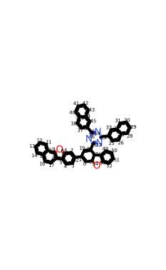 C1=C(c2ccc3c(c2)oc2c4ccccc4ccc32)C=C(c2nc(-c3ccc4ccccc4c3)nc(-c3ccc4ccccc4c3)n2)C2c3ccccc3OC12